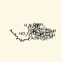 C=C(C/C=C(\C)CCC=C(C)C)CCC(C)(C)C/C=C/C/C(C)=C\CO[C@H](COP(=O)(O)O[C@H]1O[C@H](C(N)=O)[C@@](C)(O)[C@H](OC(N)=O)[C@H]1O[C@@H]1O[C@H](CO)[C@@H](O[C@@H]2O[C@H](C)[C@@H](O[C@@H]3O[C@H](C(=O)O)[C@@H](O)[C@H](O)[C@H]3O)[C@H](O)[C@H]2NC(C)=O)[C@H](O)[C@H]1NC(C)=O)C(=O)O